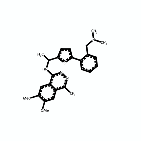 COc1cc2c(NC(C)c3ccc(-c4ccccc4CN(C)C)s3)nnc(C(F)(F)F)c2cc1OC